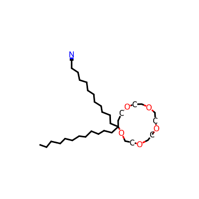 CCCCCCCCCCCCC1(CCCCCCCCCCCC#N)CCOCCOCCOCCOCCO1